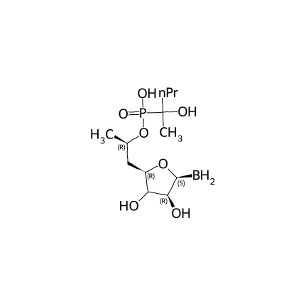 B[C@@H]1O[C@H](C[C@@H](C)OP(=O)(O)C(C)(O)CCC)C(O)[C@@H]1O